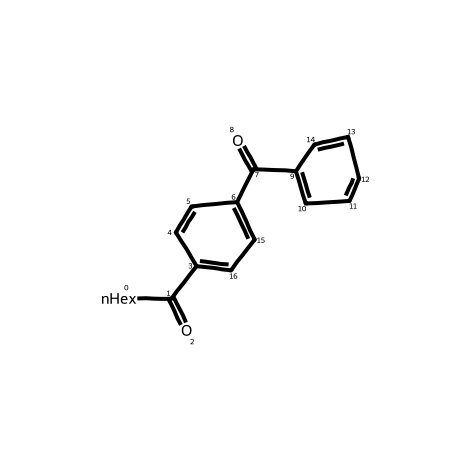 CCCCCCC(=O)c1ccc(C(=O)c2ccccc2)cc1